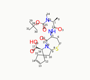 C[C@@H](C(=O)N[C@H]1CCSC2CC3(CC=CC3)[C@@H](C(=O)O)N2C1=O)N(C)C(=O)OC(C)(C)C